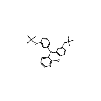 CC(C)(C)Oc1cccc(P(c2cccc(OC(C)(C)C)c2)c2cccnc2Cl)c1